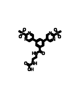 CS(=O)(=O)c1ncc(-c2cc(C(=O)NCCNC(=O)O)cc(-c3cnc(S(C)(=O)=O)nc3)c2)cn1